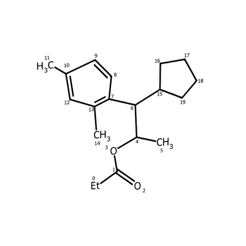 CCC(=O)OC(C)C(c1ccc(C)cc1C)C1CCCC1